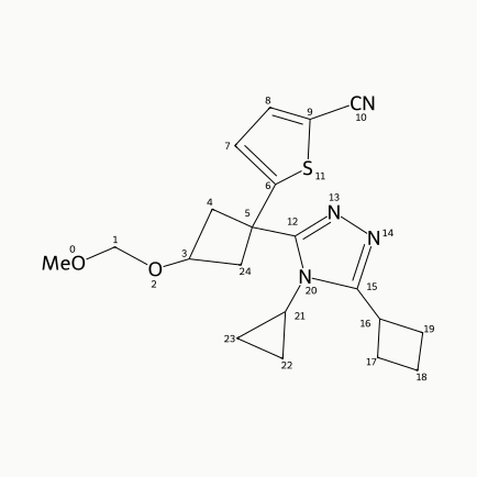 COCOC1CC(c2ccc(C#N)s2)(c2nnc(C3CCC3)n2C2CC2)C1